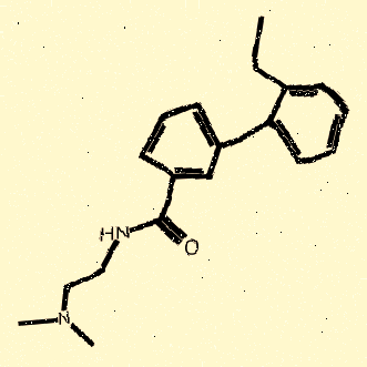 CCc1ccccc1-c1cccc(C(=O)NCCN(C)C)c1